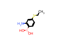 CCSc1ccc(B(O)O)c(N)c1